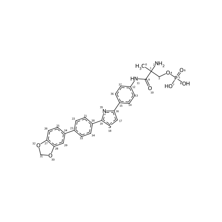 CC(N)(COP(=O)(O)O)C(=O)Nc1ccc(-c2csc(-c3ccc(-c4ccc5c(c4)OCO5)cc3)n2)cc1